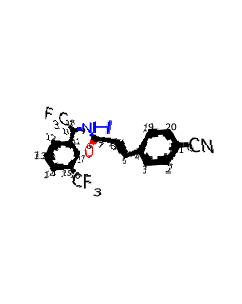 N#Cc1ccc(/C=C/C(=O)NC(c2cccc(C(F)(F)F)c2)C(F)(F)F)cc1